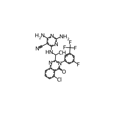 CC(Nc1nc(N)nc(N)c1C#N)c1nc2cccc(Cl)c2c(=O)n1-c1cc(F)cc(C(F)(F)F)c1